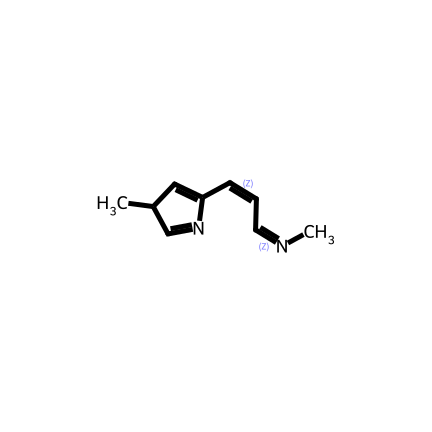 C/N=C\C=C/C1=CC(C)C=N1